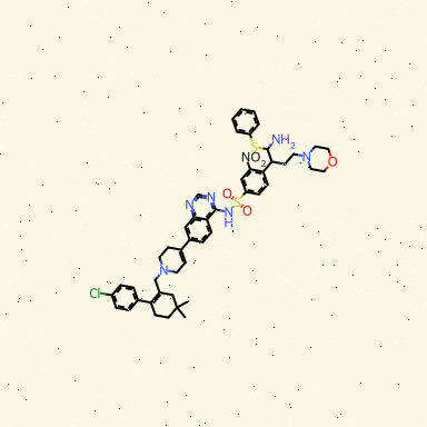 CC1(C)CCC(c2ccc(Cl)cc2)=C(CN2CC=C(c3ccc4c(NS(=O)(=O)c5ccc(C(CCN6CCOCC6)C(N)Sc6ccccc6)c([N+](=O)[O-])c5)ncnc4c3)CC2)C1